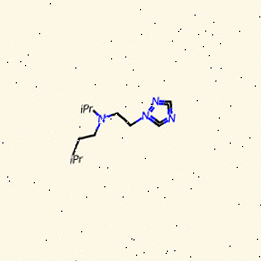 CC(C)CCN(CCn1cncn1)C(C)C